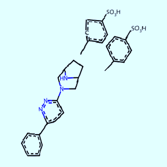 Cc1ccc(S(=O)(=O)O)cc1.Cc1ccc(S(=O)(=O)O)cc1.c1ccc(-c2ccc(N3CC4CCC(C3)N4)nn2)cc1